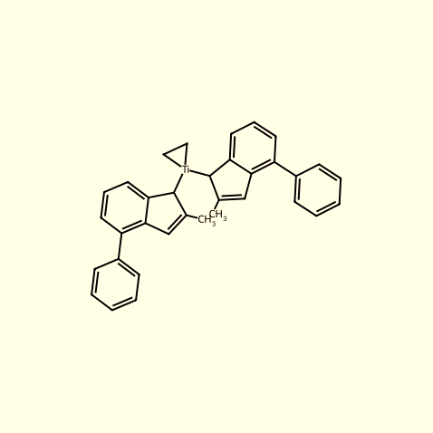 CC1=Cc2c(-c3ccccc3)cccc2[CH]1[Ti]1([CH]2C(C)=Cc3c(-c4ccccc4)cccc32)[CH2][CH2]1